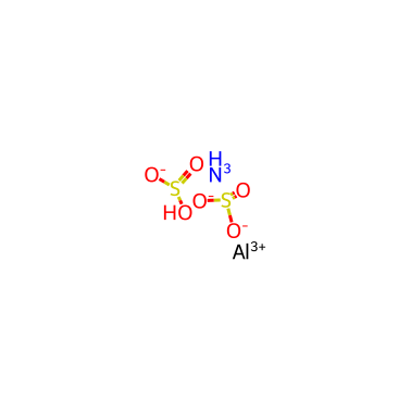 N.O=S([O-])O.O=S([O-])[O-].[Al+3]